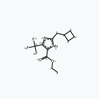 CCOC(=O)c1[nH]c(CC2CCC2)nc1C(F)(F)F